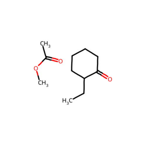 CCC1CCCCC1=O.COC(C)=O